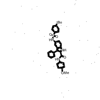 COc1ccc(NC(=O)c2[nH]c3ccc(NS(=O)(=O)c4ccc(C(C)(C)C)cc4)cc3c2-c2ccccc2)cc1